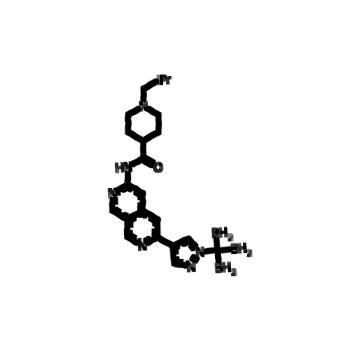 BC(B)(B)n1cc(-c2cc3cc(NC(=O)C4CCN(CC(C)C)CC4)ncc3cn2)cn1